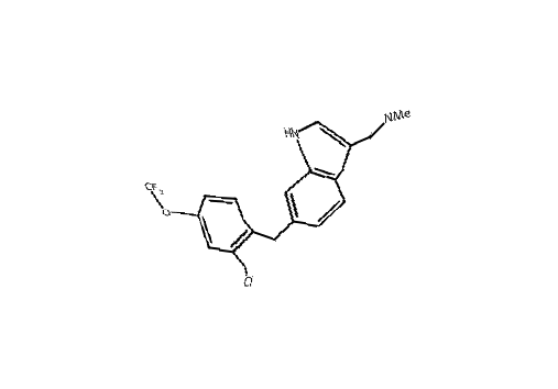 CNCc1c[nH]c2cc(Cc3ccc(OC(F)(F)F)cc3Cl)ccc12